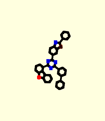 c1ccc(-c2cccc(-c3nc(-c4ccc5nc(-c6ccccc6)sc5c4)nc(-c4cccc5oc6ccccc6c45)n3)c2)cc1